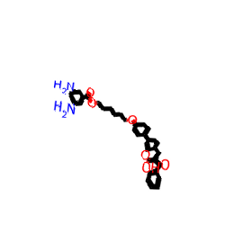 Nc1cc(N)cc(C(=O)OCCCCCCOc2ccc(-c3ccc(C=C(C(=O)O)C(=O)c4ccccc4)cc3)cc2)c1